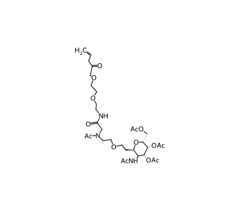 C=CCC(=O)COCCOCCNC(=O)CN(CCOCC[C@H]1O[C@H](COC(C)=O)[C@H](OC(C)=O)[C@H](OC(C)=O)[C@H]1NC(C)=O)C(C)=O